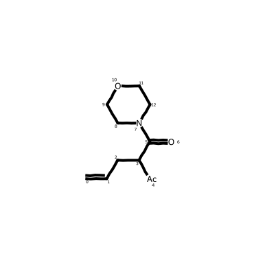 C=CCC(C(C)=O)C(=O)N1CCOCC1